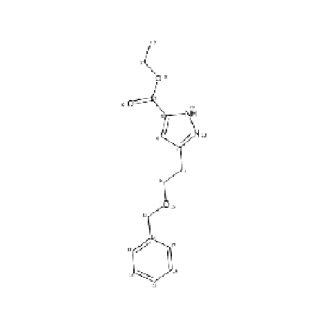 CCOC(=O)c1cc(CCOCc2ccccc2)n[nH]1